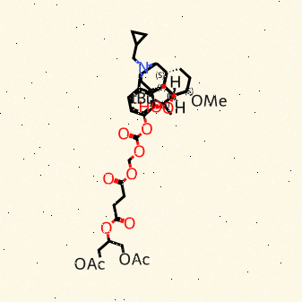 CO[C@@]12CC[C@@]3(C[C@@H]1[C@](C)(O)C(C)(C)C)C1Cc4ccc(OC(=O)OCOC(=O)CCC(=O)OC(COC(C)=O)COC(C)=O)c5c4[C@@]3(CCN1CC1CC1)[C@H]2O5